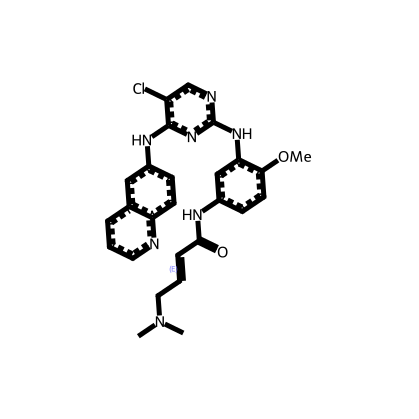 COc1ccc(NC(=O)/C=C/CN(C)C)cc1Nc1ncc(Cl)c(Nc2ccc3ncccc3c2)n1